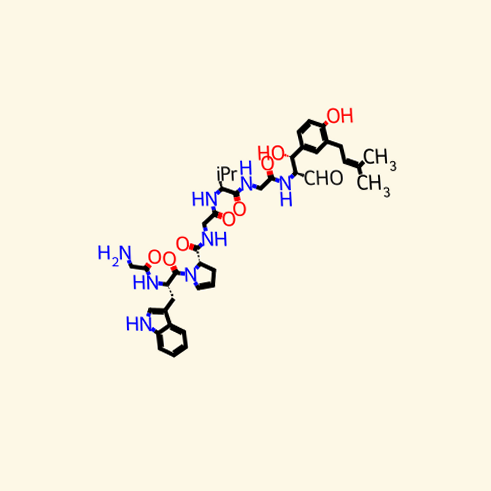 CC(C)=CCc1cc([C@@H](O)[C@@H](C=O)NC(=O)CNC(=O)[C@@H](NC(=O)CNC(=O)[C@@H]2CC=CN2C(=O)[C@H](Cc2c[nH]c3ccccc23)NC(=O)CN)C(C)C)ccc1O